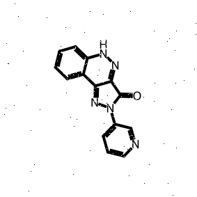 O=c1c2n[nH]c3ccccc3c-2nn1-c1cccnc1